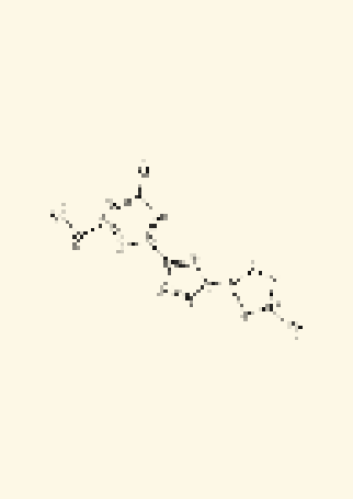 N#CN1CCC(n2cnc(-c3cc(Cl)cc(OC(F)(F)F)c3)c2)C1